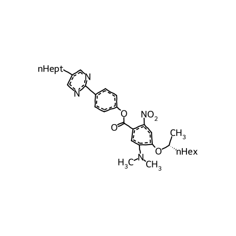 CCCCCCCc1cnc(-c2ccc(OC(=O)c3cc(N(C)C)c(O[C@H](C)CCCCCC)cc3[N+](=O)[O-])cc2)nc1